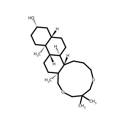 CC1(C)COCCC[C@H]2[C@@H]3CC[C@H]4C[C@@H](O)CC[C@]4(C)[C@H]3CC[C@]2(C)COC1